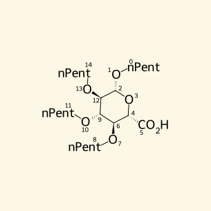 CCCCCO[C@@H]1O[C@H](C(=O)O)[C@@H](OCCCCC)[C@H](OCCCCC)[C@H]1OCCCCC